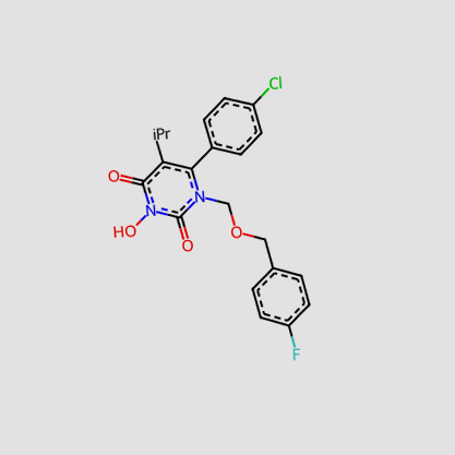 CC(C)c1c(-c2ccc(Cl)cc2)n(COCc2ccc(F)cc2)c(=O)n(O)c1=O